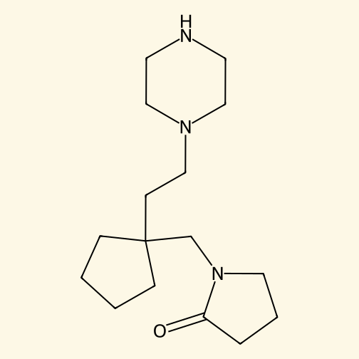 O=C1CCCN1CC1(CCN2CCNCC2)CCCC1